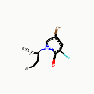 CCOC(=O)C(CC(C)C)n1cc(Br)cc(F)c1=O